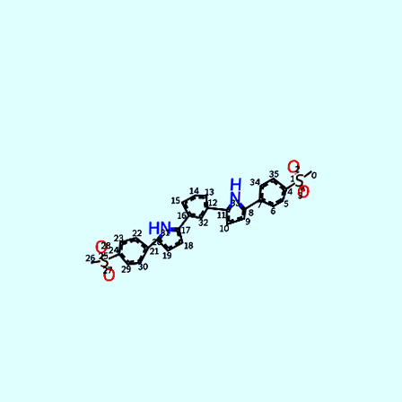 CS(=O)(=O)c1ccc(-c2ccc(-c3cccc(-c4ccc(-c5ccc(S(C)(=O)=O)cc5)[nH]4)c3)[nH]2)cc1